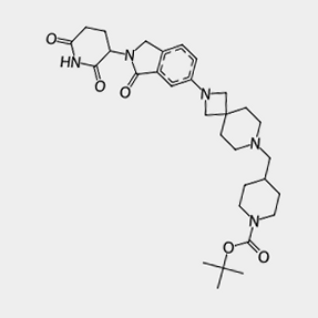 CC(C)(C)OC(=O)N1CCC(CN2CCC3(CC2)CN(c2ccc4c(c2)C(=O)N(C2CCC(=O)NC2=O)C4)C3)CC1